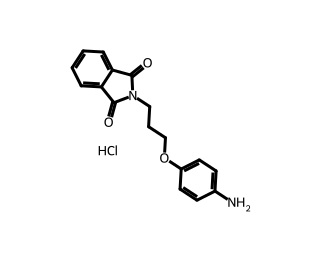 Cl.Nc1ccc(OCCCN2C(=O)c3ccccc3C2=O)cc1